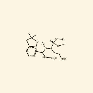 CCCCCCCCCCCCN([S+]([O-])C(NC(=O)O)c1cccc2c1OC(C)(C)C2)P(=S)(OCC)OCC